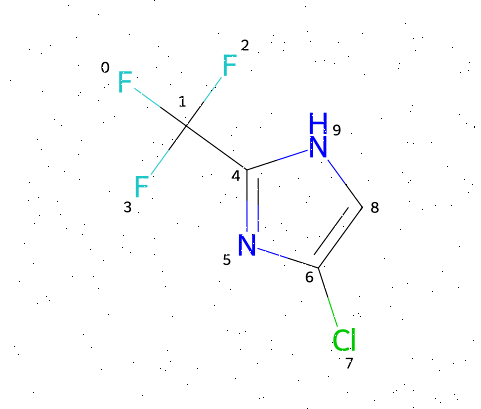 FC(F)(F)c1nc(Cl)c[nH]1